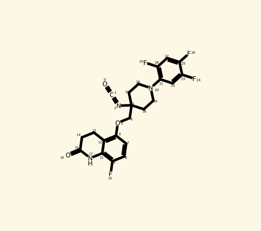 O=C=NC1(COc2ccc(F)c3c2CCC(=O)N3)CCN(c2cc(F)c(F)cc2F)CC1